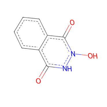 O=c1[nH]n(O)c(=O)c2ccccc12